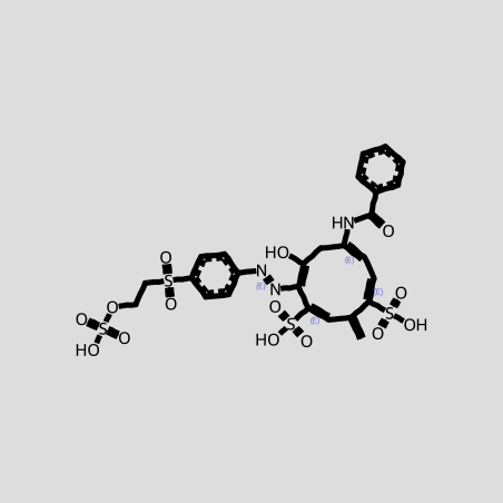 C=C1/C=C(/S(=O)(=O)O)C(/N=N/c2ccc(S(=O)(=O)CCOS(=O)(=O)O)cc2)=C(O)C/C(NC(=O)c2ccccc2)=C\C=C/1S(=O)(=O)O